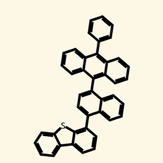 c1ccc(-c2c3ccccc3c(-c3ccc(-c4cccc5c4sc4ccccc45)c4ccccc34)c3ccccc23)cc1